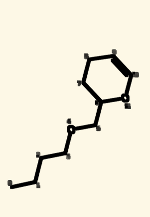 CCCCOCC1CCC=CO1